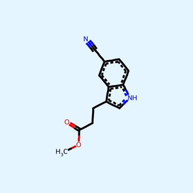 COC(=O)CCc1c[nH]c2ccc(C#N)cc12